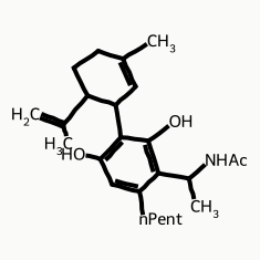 C=C(C)C1CCC(C)=CC1c1c(O)cc(CCCCC)c(C(C)NC(C)=O)c1O